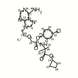 C[C@H](Cn1cnc2c(N)ncnc21)OCP(=O)(NC(C)(C)C(=O)OC1CCC1)Oc1ccc(Cl)cc1